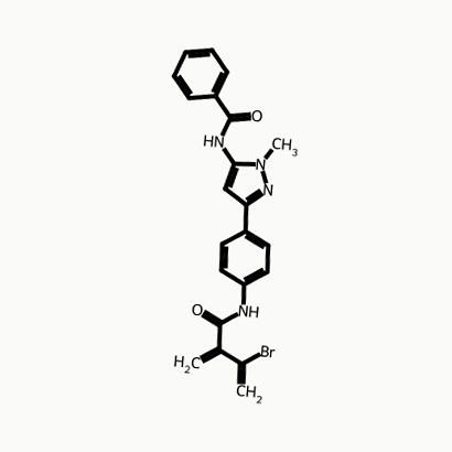 C=C(Br)C(=C)C(=O)Nc1ccc(-c2cc(NC(=O)c3ccccc3)n(C)n2)cc1